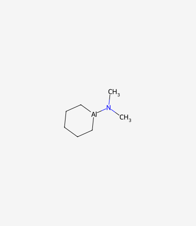 C[N](C)[Al]1[CH2]CCC[CH2]1